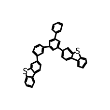 c1ccc(-c2cc(-c3cccc(-c4ccc5c(c4)sc4ccccc45)c3)cc(-c3ccc4c(c3)sc3ccccc34)c2)cc1